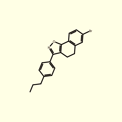 CCCc1ccc(-c2noc3c2CCc2cc(Br)ccc2-3)cc1